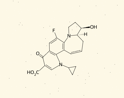 O=C(O)c1cn(C2CC2)c2c3c(c(F)cc2c1=O)N1CC[C@@H](O)[C@H]1CC=C3